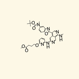 CNc1ncc(-c2nc3cc(N(C)C(=O)OC(C)(C)C)ccc3o2)c2cc(Nc3cccc(OCCCC(=O)OC)n3)ncc12